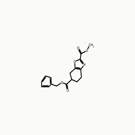 COC(=O)c1nc2c(o1)CC(C(=O)OCc1ccccc1)CC2